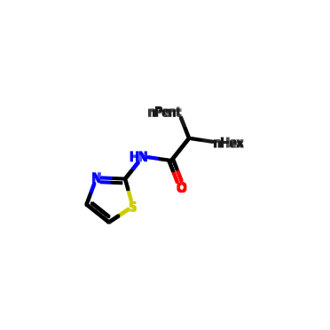 CCCCCCC(CCCCC)C(=O)Nc1nccs1